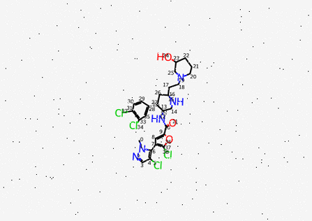 Cn1ncc(Cl)c1-c1cc(C(=O)N[C@@H]2CNC(CCN3CCCC(O)C3)C[C@H]2c2ccc(Cl)c(Cl)c2)oc1Cl